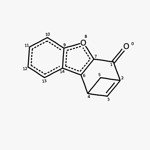 O=C1C2=CC(C2)c2c1oc1ccccc21